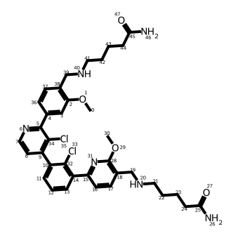 COc1cc(-c2nccc(-c3cccc(-c4ccc(CNCCCCC(N)=O)c(OC)n4)c3Cl)c2Cl)ccc1CNCCCCC(N)=O